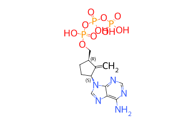 C=C1[C@H](COP(=O)(O)OP(=O)(O)OP(=O)(O)O)CC[C@@H]1n1cnc2c(N)ncnc21